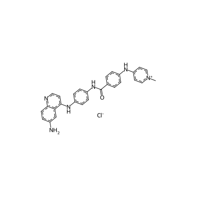 C[n+]1ccc(Nc2ccc(C(=O)Nc3ccc(Nc4ccnc5ccc(N)cc45)cc3)cc2)cc1.[Cl-]